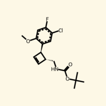 COc1cc(F)c(Cl)cc1[C@@H]1C=C[C@H]1CNC(=O)OC(C)(C)C